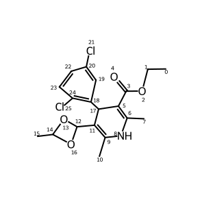 CCOC(=O)C1=C(C)NC(C)=C(C2OC(C)O2)C1c1cc(Cl)ccc1Cl